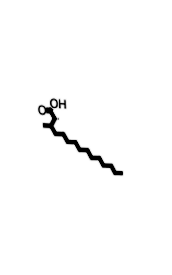 CCCCCCCCCCCCC(C)[CH]C(=O)O